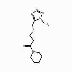 Cn1nnnc1CSCCC(=O)N1CCCCC1